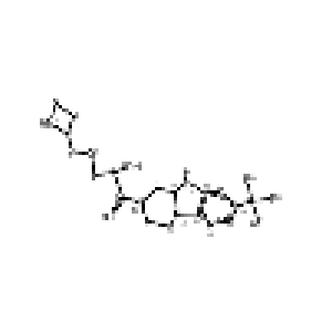 O=C(C(O)COCC1CCN1)N1CCN2c3ncc(C(F)(F)F)cc3NC2C1